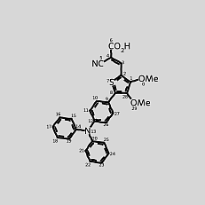 COc1c(/C=C(\C#N)C(=O)O)sc(-c2ccc(N(c3ccccc3)c3ccccc3)cc2)c1OC